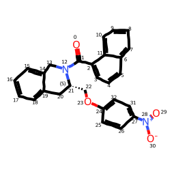 O=C(c1cccc2ccccc12)N1Cc2ccccc2C[C@H]1COc1ccc([N+](=O)[O-])cc1